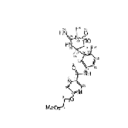 COCCOc1cnc(C(=O)Nc2ccc(F)c([C@]3(C)CS(=O)(=O)N(C)C(=N)N3)c2)cn1